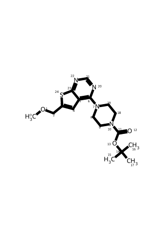 COCc1cc2c(N3CCN(C(=O)OC(C)(C)C)CC3)ncnc2s1